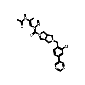 C=NN(/C=C(\C)N(C)C(C)=O)C(=O)N1CC2CN(Cc3ccc(-c4cncnc4)cc3Cl)CC2C1